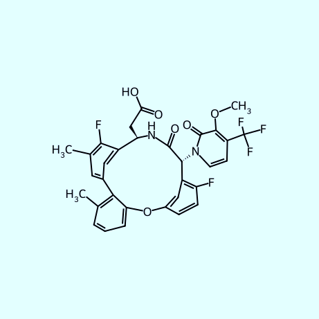 COc1c(C(F)(F)F)ccn([C@H]2C(=O)N[C@H](CC(=O)O)c3cc(cc(C)c3F)-c3c(C)cccc3Oc3ccc(F)c2c3)c1=O